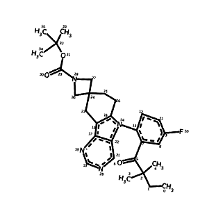 CCC(C)(C)C(=O)c1cc(F)ccc1-n1c2c(c3ncncc31)CC1(CC2)CN(C(=O)OC(C)(C)C)C1